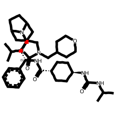 CC(C)NC(=O)N[C@H]1CC[C@H](C(=O)N[C@@H](CCN2C3CCC2CC2(C3)CN(CC3CCOCC3)C(=O)N2C(C)C)c2ccccc2)CC1